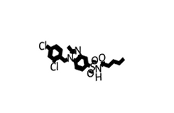 CCCCC(=O)NS(=O)(=O)c1ccc2c(c1)nc(C)n2Cc1ccc(Cl)cc1Cl